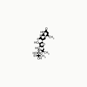 CCC(C)(C[C@H]1O[C@@H](c2cn3c(C)cc(=O)[nH]c3nc2=O)[C@@H](O)C1O)OP(=O)(O)C(C)(O)CC